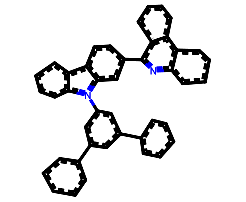 c1ccc(-c2cc(-c3ccccc3)cc(-n3c4ccccc4c4ccc(-c5nc6ccccc6c6ccccc56)cc43)c2)cc1